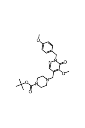 COc1ccc(Cn2ncc(CN3CCN(C(=O)OC(C)(C)C)CC3)c(OC)c2=O)cc1